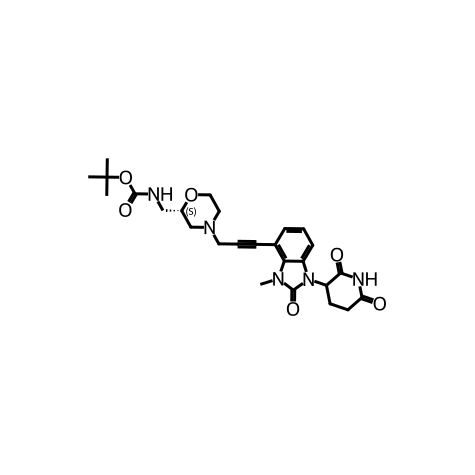 Cn1c(=O)n(C2CCC(=O)NC2=O)c2cccc(C#CCN3CCO[C@@H](CNC(=O)OC(C)(C)C)C3)c21